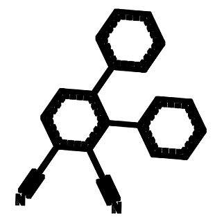 N#Cc1ccc(-c2ccccc2)c(-c2ccccc2)c1C#N